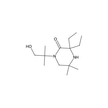 CCC1(CC)NC(C)(C)CN(C(C)(C)CO)C1=O